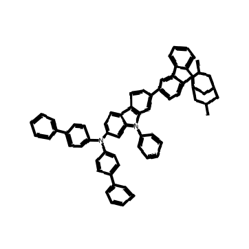 CC1CC2CC(C)C3(c4ccccc4-c4cc(-c5ccc6c7ccc(N(c8ccc(-c9ccccc9)cc8)c8ccc(-c9ccccc9)cc8)cc7n(-c7ccccc7)c6c5)ccc43)C(C1)C2